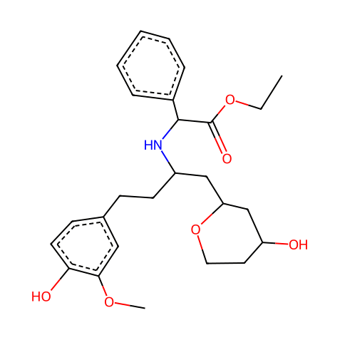 CCOC(=O)C(NC(CCc1ccc(O)c(OC)c1)CC1CC(O)CCO1)c1ccccc1